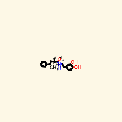 CCC(C)(CC(C)c1ccccc1)C(=O)NCCc1ccc(O)c(O)c1